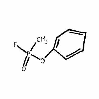 CP(=O)(F)Oc1ccccc1